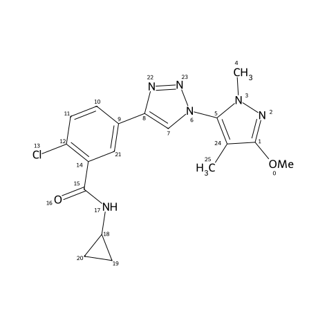 COc1nn(C)c(-n2cc(-c3ccc(Cl)c(C(=O)NC4CC4)c3)nn2)c1C